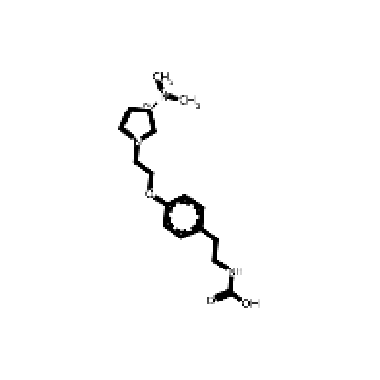 CN(C)[C@H]1CCN(CCOc2ccc(CCNC(=O)O)cc2)C1